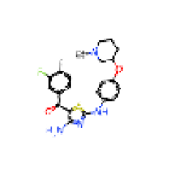 CCN1CCCC(Oc2ccc(Nc3nc(N)c(C(=O)c4ccc(C)c(F)c4)s3)cc2)C1